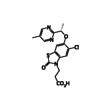 Cc1cnc([C@H](C)Oc2cc3sc(=O)n(CCC(=O)O)c3cc2Cl)nc1